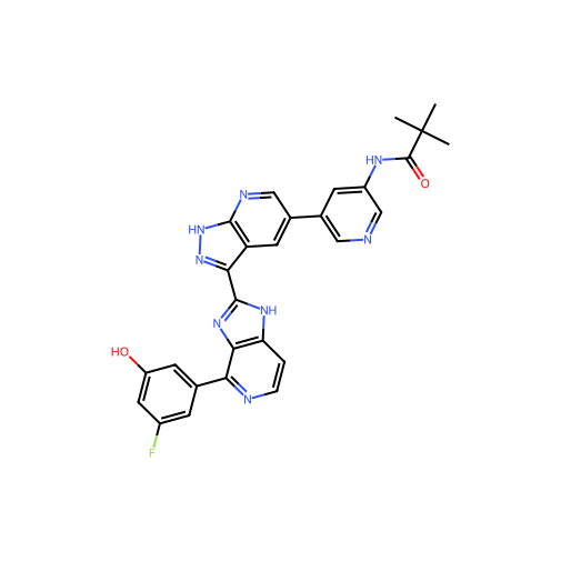 CC(C)(C)C(=O)Nc1cncc(-c2cnc3[nH]nc(-c4nc5c(-c6cc(O)cc(F)c6)nccc5[nH]4)c3c2)c1